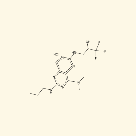 CCCNc1nc(N(C)C)c2nc(NCC(O)C(F)(F)F)ncc2n1.Cl